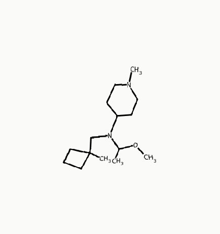 COC(C)N(CC1(C)CCC1)C1CCN(C)CC1